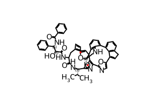 CC(C)[C@@H]1NC(=O)C(NC(=O)[C@H](O)[C@@H](NC(=O)c2ccccc2)c2ccccc2)Cc2ccc3c(c2)C24c5cccc(c5N[C@H]2O3)-c2cccc3c2C(=CC3)c2cnc(o2)-c2nc1oc24